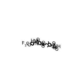 Cc1cc(N2C(=O)NC(=O)C2(C)C)cc(C)c1CCS(=O)(=O)N1CCC2(CC1)N=C(c1ccc(OC(F)(F)F)cc1)NC2=O